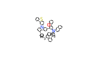 CC1(C)c2ccccc2-c2ccc(N(c3ccc4ccccc4c3)c3cc(-c4ccc5c6c(-c7ccccc7)cccc6n(-c6ccc7sc8ccccc8c7c6)c5c4)c4oc5ccccc5c4c3)cc21